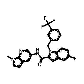 Cn1ccc2cc(NC(=O)c3cc4cc(F)ccc4n3Cc3cccc(C(F)(F)F)c3)cnc21